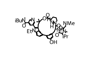 CCC(C)N(C)C(=O)c1cncc(-c2c3c4cc(ccc4n2CC)-c2cc(O)cc(c2)C[C@H](NC(=O)C(C(C)C)N(C)C(=O)CNC)C(=O)N2CCC[C@H](N2)C(=O)OCC(C)(C)C3)c1